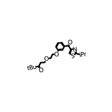 CC(C)c1nc(C(=O)c2cccc(OCCOCCC(=O)C(C)(C)C)c2)cs1